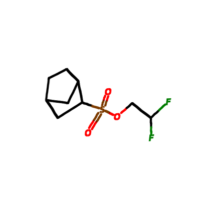 O=S(=O)(OCC(F)F)C1CC2CCC1C2